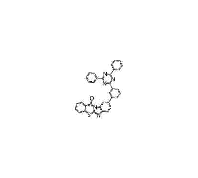 O=c1c2ccccc2sc2nc3ccc(-c4cccc(-c5nc(-c6ccccc6)nc(-c6ccccc6)n5)c4)cc3n12